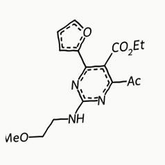 CCOC(=O)c1c(C(C)=O)nc(NCCOC)nc1-c1ccco1